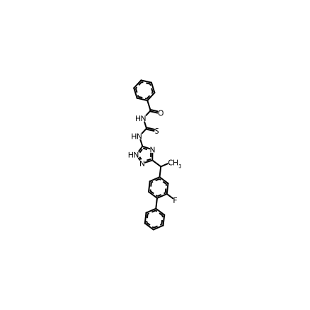 CC(c1ccc(-c2ccccc2)c(F)c1)c1n[nH]c(NC(=S)NC(=O)c2ccccc2)n1